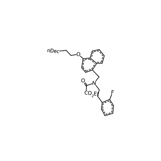 CCCCCCCCCCCCOc1ccc(CN(CCc2ccccc2F)C(=O)C(=O)OCC)c2ccccc12